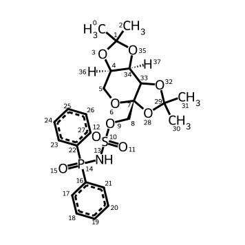 CC1(C)O[C@@H]2CO[C@@]3(COS(=O)(=O)NP(=O)(c4ccccc4)c4ccccc4)OC(C)(C)OC3[C@@H]2O1